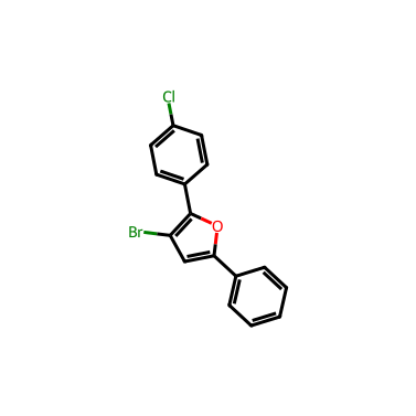 Clc1ccc(-c2oc(-c3ccccc3)cc2Br)cc1